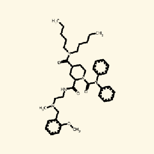 CCCCCN(CCCCC)C(=O)C1CCN(C(=O)N(c2ccccc2)c2ccccc2)C(C(=O)NCCN(C)Cc2ccccc2OC)C1